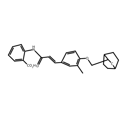 Cc1cc(/C=C/C(=O)Nc2ccccc2C(=O)O)ccc1OCC1CC2CCC1CC2